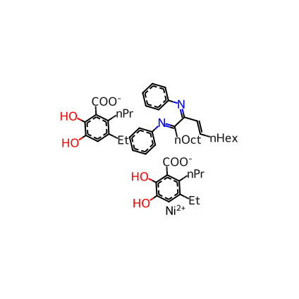 CCCCCCC=CC(=Nc1ccccc1)C(CCCCCCCC)=Nc1ccccc1.CCCc1c(CC)cc(O)c(O)c1C(=O)[O-].CCCc1c(CC)cc(O)c(O)c1C(=O)[O-].[Ni+2]